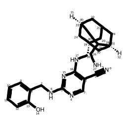 N#Cc1cnc(NCc2ccccc2O)nc1NC[C@@]12CC3C[C@H](C1)C(CN)[C@@H](C3)C2